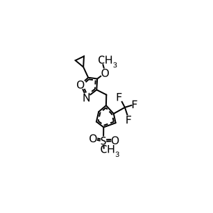 COc1c(Cc2ccc(S(C)(=O)=O)cc2C(F)(F)F)noc1C1CC1